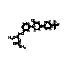 C[C@@H](COc1ccnc(N2CCN(c3ncc(C(F)(F)F)cn3)CC2=O)c1)OC(N)=O